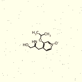 CC(C)Oc1c[n+]([O-])ccc1CC(=N)CO